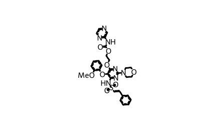 COc1ccccc1Oc1c(NS(=O)(=O)C=Cc2ccccc2)nc(N2CCOCC2)nc1OCCOC(=O)Nc1cnccn1